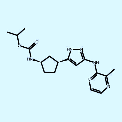 Cc1nccnc1Nc1cc([C@H]2CC[C@@H](NC(=O)OC(C)C)C2)[nH]n1